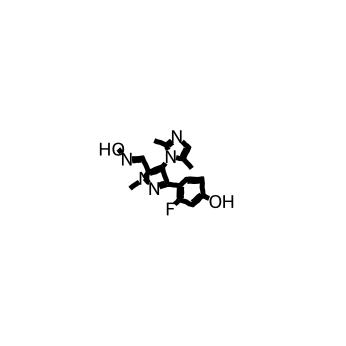 Cc1cnc(C)n1-c1c(-c2ccc(O)cc2F)nn(C)c1C=NO